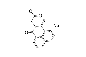 O=C([O-])CN1C(=O)c2cccc3cccc(c23)C1=S.[Na+]